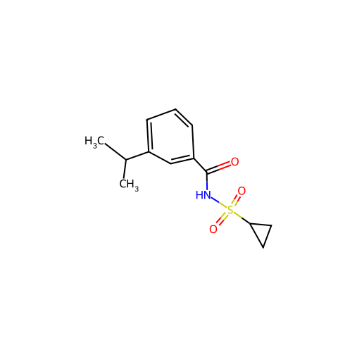 CC(C)c1cccc(C(=O)NS(=O)(=O)C2CC2)c1